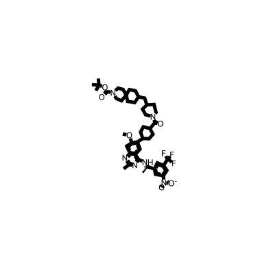 COc1cc2nc(C)nc(N[C@H](C)c3cc([N+](=O)[O-])cc(C(F)(F)F)c3)c2cc1C1CCC(C(=O)N2CCC(CC3CCC4(CC3)CCN(C(=O)OC(C)(C)C)CC4)CC2)CC1